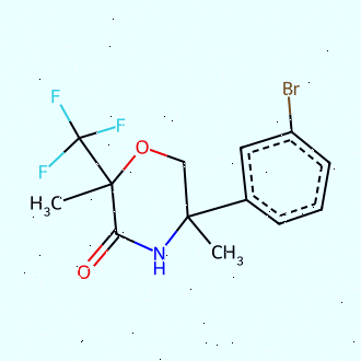 CC1(c2cccc(Br)c2)COC(C)(C(F)(F)F)C(=O)N1